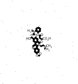 CN(C)CCn1c(=O)c2cc(OC(=O)N(C)c3ccccc3OC(=O)CCC(=O)O)c(CO)cc2c2cnc3cc4c(cc3c21)OCO4